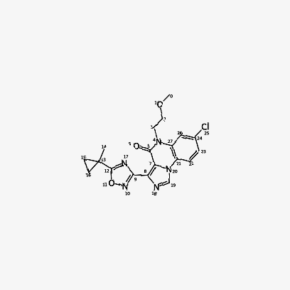 COCCn1c(=O)c2c(-c3noc(C4(C)CC4)n3)ncn2c2ccc(Cl)cc21